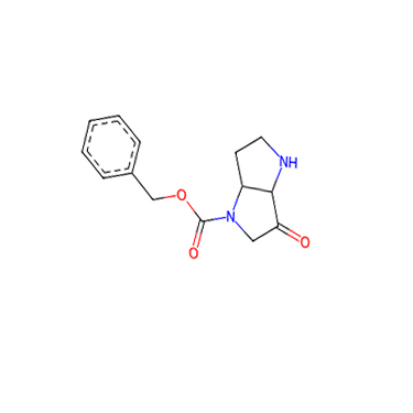 O=C1CN(C(=O)OCc2ccccc2)C2CCNC12